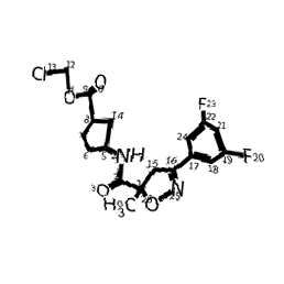 CC1(C(=O)NC2CCC(C(=O)OCCl)C2)CC(c2cc(F)cc(F)c2)=NO1